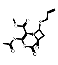 C=CCSC1CC(=O)N1C(C(=O)OC)=C(SC(C)=O)SC(C)=O